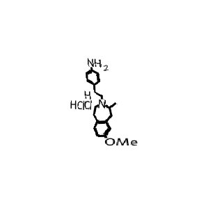 COc1ccc2c(c1)CC(C)N(CCc1ccc(N)cc1)CC2.Cl.Cl